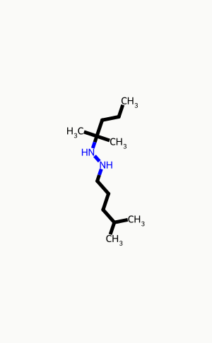 CCCC(C)(C)NNCCCC(C)C